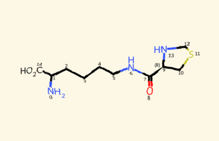 NC(CCCCNC(=O)[C@@H]1CSCN1)C(=O)O